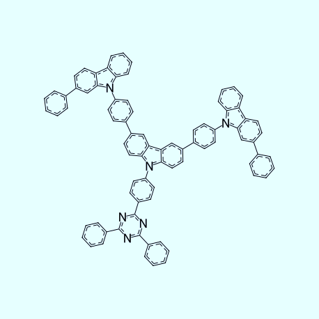 c1ccc(-c2ccc3c4ccccc4n(-c4ccc(-c5ccc6c(c5)c5cc(-c7ccc(-n8c9ccccc9c9ccc(-c%10ccccc%10)cc98)cc7)ccc5n6-c5ccc(-c6nc(-c7ccccc7)nc(-c7ccccc7)n6)cc5)cc4)c3c2)cc1